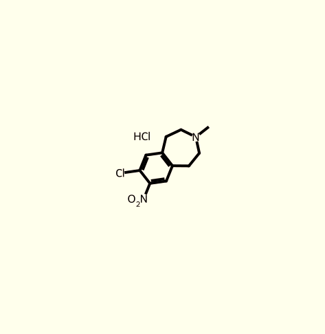 CN1CCc2cc(Cl)c([N+](=O)[O-])cc2CC1.Cl